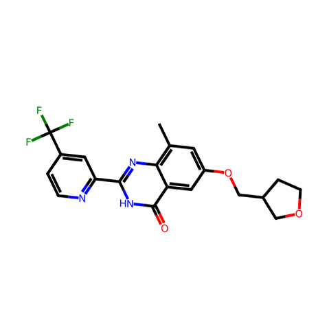 Cc1cc(OCC2CCOC2)cc2c(=O)[nH]c(-c3cc(C(F)(F)F)ccn3)nc12